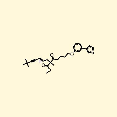 COC(=O)C(C)(C/C=C/C#CC(C)(C)C)C(=O)CCCCOc1cccc(-c2ccsc2)c1